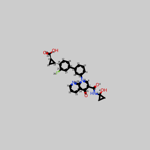 O=C(NC1(O)CC1)c1cn(-c2cccc(-c3ccc([C@@H]4C[C@H]4C(=O)O)c(F)c3)c2)c2ncccc2c1=O